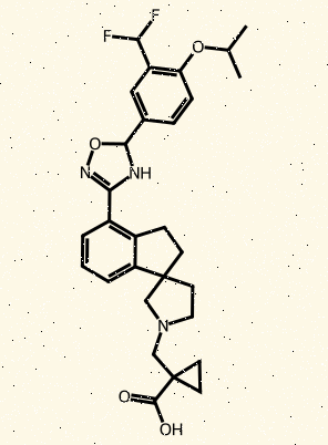 CC(C)Oc1ccc(C2NC(c3cccc4c3CCC43CCN(CC4(C(=O)O)CC4)C3)=NO2)cc1C(F)F